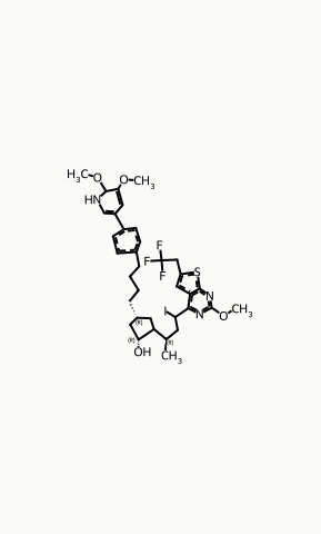 COC1=CC(c2ccc(CCCC[C@@H]3CC([C@H](C)CC(I)c4nc(OC)nc5sc(CC(F)(F)F)cc45)[C@H](O)C3)cc2)=CNC1OC